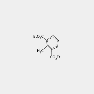 CCOC(=O)c1[c]ccc(C(=O)OCC)c1C